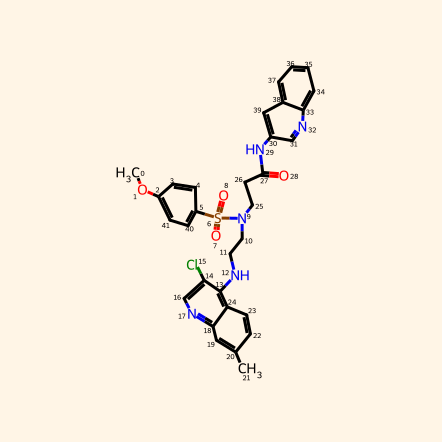 COc1ccc(S(=O)(=O)N(CCNc2c(Cl)cnc3cc(C)ccc23)CCC(=O)Nc2cnc3ccccc3c2)cc1